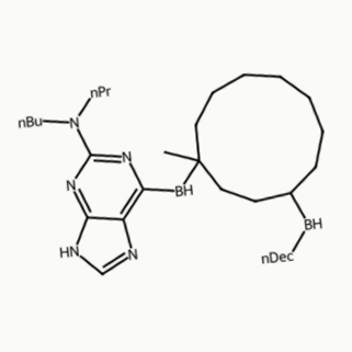 CCCCCCCCCCBC1CCCCCCCC(C)(Bc2nc(N(CCC)CCCC)nc3[nH]cnc23)CC1